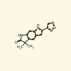 CC1(C)C(=O)Nc2cc3[nH]c(-c4cnsn4)cc3cc21